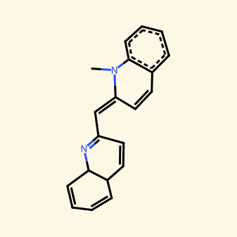 CN1/C(=C/C2=NC3C=CC=CC3C=C2)C=Cc2ccccc21